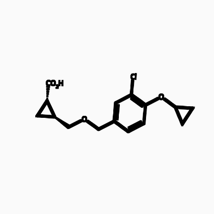 O=C(O)[C@H]1C[C@@H]1COCc1ccc(OC2CC2)c(Cl)c1